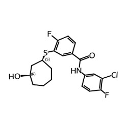 O=C(Nc1ccc(F)c(Cl)c1)c1ccc(F)c(S[C@H]2CCCC[C@@H](O)C2)c1